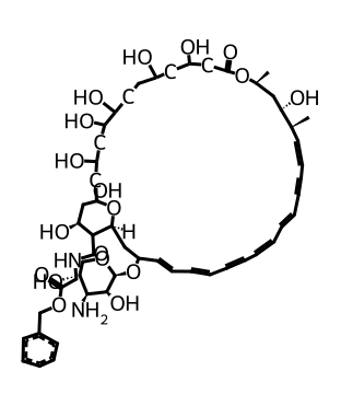 C[C@H]1C[C@H](O)[C@@H](C)/C=C/C=C/C=C/C=C/C=C/C=C/C=C/C(O[C@@H]2OC[C@@H](O)[C@H](N)[C@@H]2O)C[C@@H]2OC(O)(CC(O)CC(O)C(O)CCC(O)CC(O)CC(=O)O1)C[C@H](O)C2C(=O)NCC(=O)OCc1ccccc1